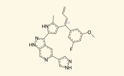 C=C/C=C(/c1cc(F)cc(OC)c1)c1cc(-c2n[nH]c3cnc(-c4cn[nH]c4)cc23)[nH]c1C